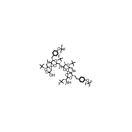 CN[C@@H](CC(C)(C)F)C(=O)O[C@H](CCc1ccc(OC(F)(F)F)cc1)C(=O)N(C)[C@@H](CC(C)(C)C)C(=O)O[C@H](C)C(=O)N(C)[C@@H](CC(C)(C)F)C(=O)O[C@H](Cc1ccc(OC(F)(F)F)cc1)C(=O)N(C)[C@@H](CC(C)(C)C)C(=O)O[C@H](C)C(=O)O